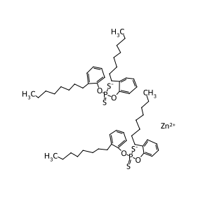 CCCCCCCCc1ccccc1OP(=S)([S-])Oc1ccccc1CCCCCCCC.CCCCCCCCc1ccccc1OP(=S)([S-])Oc1ccccc1CCCCCCCC.[Zn+2]